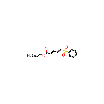 C=CCOC(=O)/C=C/C=C/S(=O)(=O)c1ccccc1